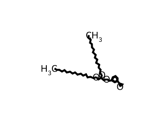 CCCCCCCCCCCCCCCCOCC(COCc1cccc(C2CO2)c1)OCCCCCCCCCCCCCCCC